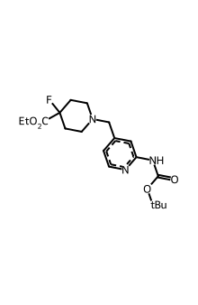 CCOC(=O)C1(F)CCN(Cc2ccnc(NC(=O)OC(C)(C)C)c2)CC1